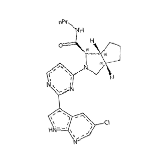 CCCNC(=O)[C@H]1[C@@H]2CCC[C@@H]2CN1c1ccnc(-c2c[nH]c3ncc(Cl)cc23)n1